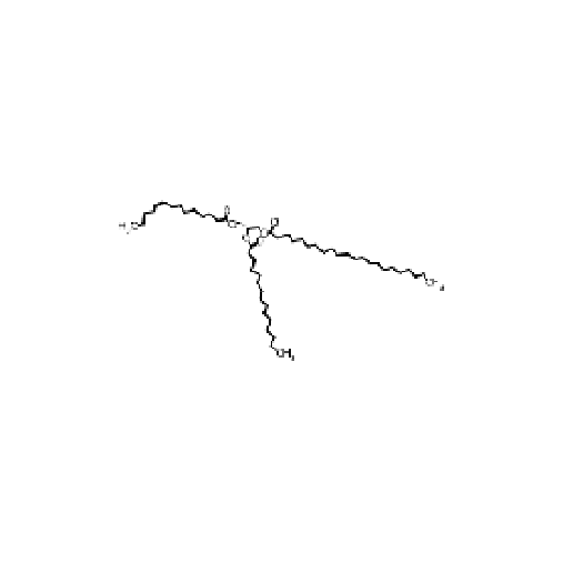 CCCC/C=C\CCCCCCCC(=O)OC[C@H](COC(=O)CCCCCCCCCCCCCCCCCCCCC)OC(=O)CCCCCCCCCCCCCC